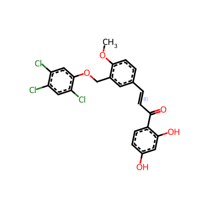 COc1ccc(/C=C/C(=O)c2ccc(O)cc2O)cc1COc1cc(Cl)c(Cl)cc1Cl